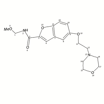 COCNC(=O)c1cc2cc(OCCN3CCOCC3)ccc2o1